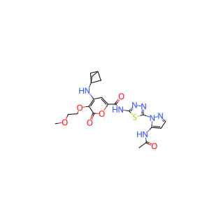 COCCOc1c(NC23CC(C2)C3)cc(C(=O)Nc2nnc(-n3nccc3NC(C)=O)s2)oc1=O